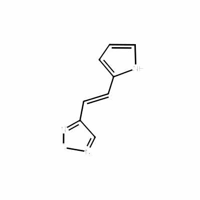 C(=Cc1ccc[nH]1)c1cnsn1